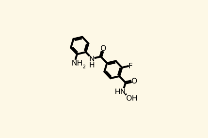 Nc1ccccc1NC(=O)c1ccc(C(=O)NO)c(F)c1